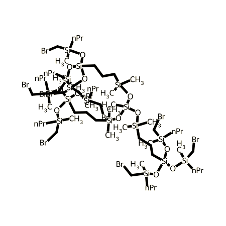 CCC[Si](C)(CBr)O[Si](CCC[Si](C)(C)O[Si](C)(O[Si](C)(C)CCC[Si](O[Si](C)(CBr)CCC)(O[Si](C)(CBr)CCC)O[Si](C)(CBr)CCC)O[Si](C)(C)CCC[Si](O[Si](C)(CBr)CCC)(O[Si](C)(CBr)CCC)O[Si](C)(CBr)CCC)(O[Si](C)(CBr)CCC)O[Si](C)(CBr)CCC